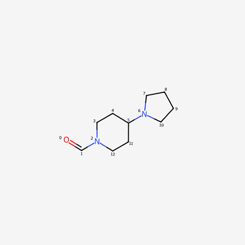 O=CN1CCC(N2CCCC2)CC1